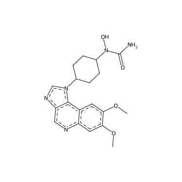 COc1cc2ncc3ncn(C4CCC(N(O)C(N)=O)CC4)c3c2cc1OC